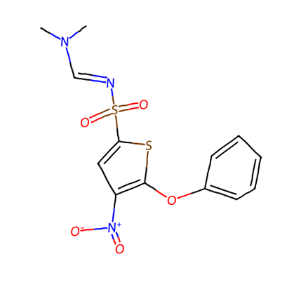 CN(C)/C=N/S(=O)(=O)c1cc([N+](=O)[O-])c(Oc2ccccc2)s1